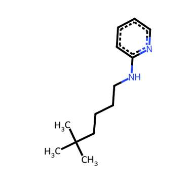 CC(C)(C)CCCCNc1ccccn1